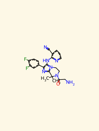 CC1(C)c2nc(-c3ccc(F)c(F)c3)c(Nc3ncccc3C#N)n2CCN1C(=O)CN